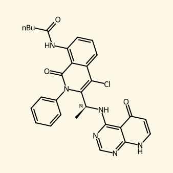 CCCCC(=O)Nc1cccc2c(Cl)c([C@H](C)Nc3ncnc4[nH]ccc(=O)c34)n(-c3ccccc3)c(=O)c12